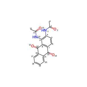 CC(=O)Nc1ccc2c(c1NC(C)=O)C(=O)c1ccccc1C2=O